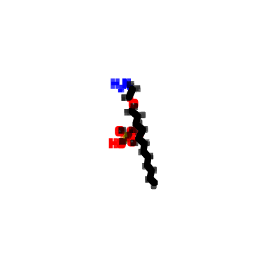 CCCCCCCCCCCCOCCN.O=S(=O)(O)O